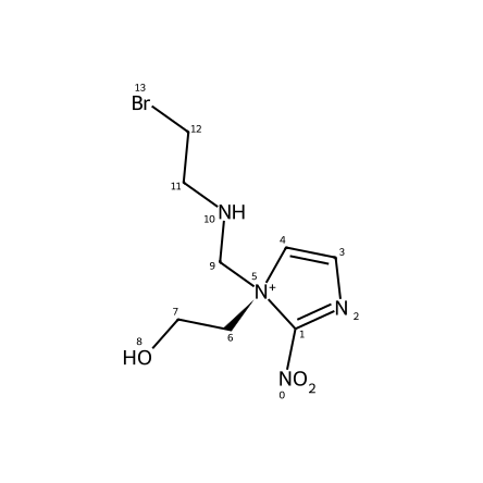 O=[N+]([O-])C1=NC=C[N@@+]1(CCO)CNCCBr